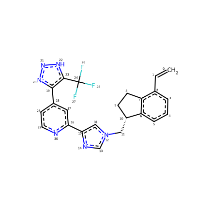 C=Cc1cccc2c1CC[C@H]2Cn1cnc(-c2cc(-c3nn[nH]c3C(F)(F)F)ccn2)c1